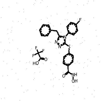 O=C(NO)c1ccc(Sc2nnc(Cc3ccccc3)n2-c2ccc(F)cc2)cc1.O=C(O)C(F)(F)F